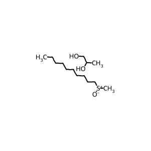 CC(O)CO.CCCCCCCCCC[S+](C)[O-]